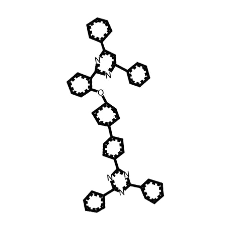 c1ccc(-c2cc(-c3ccccc3)nc(-c3ccccc3Oc3ccc(-c4ccc(-c5nc(-c6ccccc6)nc(-c6ccccc6)n5)cc4)cc3)n2)cc1